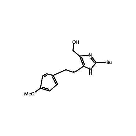 CCC(C)c1nc(CO)c(SCc2ccc(OC)cc2)[nH]1